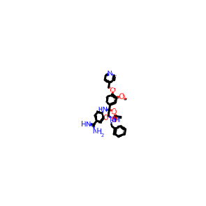 COc1cc(C(Nc2ccc(C(=N)N)cc2)(OC(C)=O)C(=O)NCc2ccccc2)ccc1OCc1ccncc1